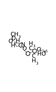 CCOC(=O)[C@H]1[C@@H]2Cc3cc(OCc4cccc(-c5c(C)cc(OCCC6(O)CC6)cc5C)c4)ncc3[C@@H]21